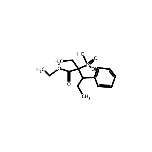 CCOC(=O)C(CC)(C(CC)c1ccccc1)P(=O)(O)O